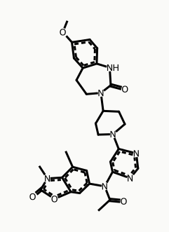 COc1ccc2c(c1)CCN(C1CCN(c3cc(N(C(C)=O)c4cc(C)c5c(c4)oc(=O)n5C)ncn3)CC1)C(=O)N2